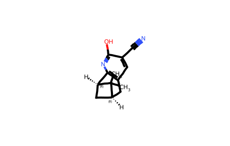 CC1(C)[C@H]2Cc3cc(C#N)c(O)nc3[C@@H]1C2